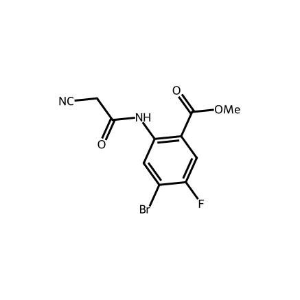 COC(=O)c1cc(F)c(Br)cc1NC(=O)CC#N